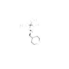 CC(C)(C)S/N=C/C1CCOCC1